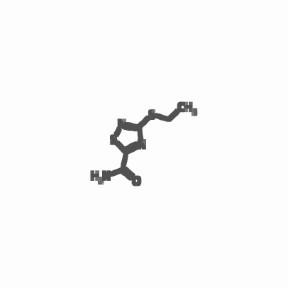 CCSc1nsc(C(N)=O)n1